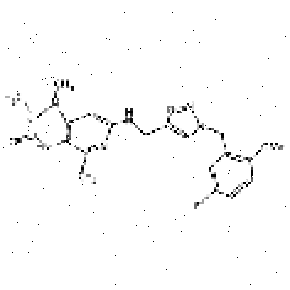 COc1ccc(F)cc1Cn1cc(CNc2cc3c(c(C)n2)NC(=O)[C@H](C)N3C)nn1